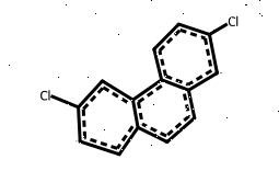 Clc1[c]c2ccc3c[c]c(Cl)cc3c2cc1